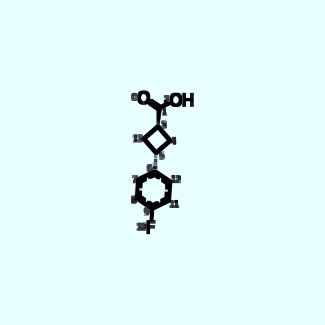 O=C(O)[C@H]1C[C@H](c2ccc(F)cc2)C1